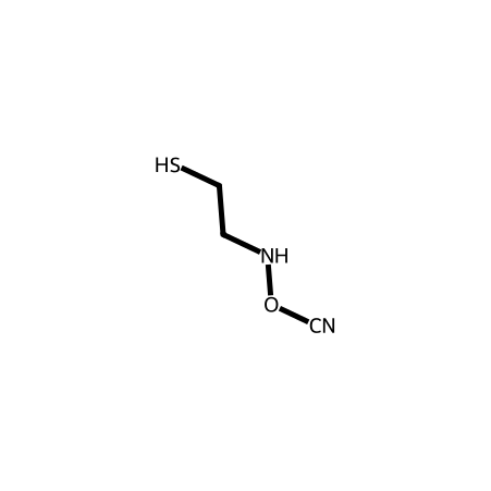 N#CONCCS